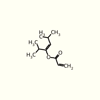 C=CC(=O)OC(=CC(C)C)C(C)C